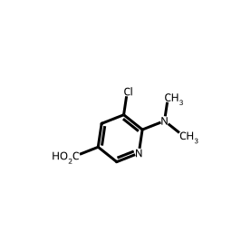 CN(C)c1ncc(C(=O)O)cc1Cl